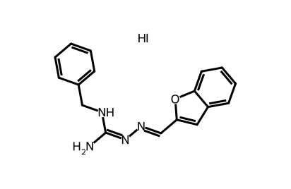 I.NC(=NN=Cc1cc2ccccc2o1)NCc1ccccc1